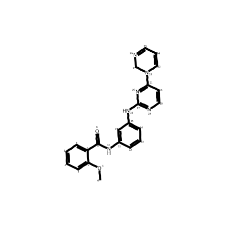 COc1ccccc1C(=O)Nc1cccc(Nc2nccc(N3C=CC=NC3)n2)c1